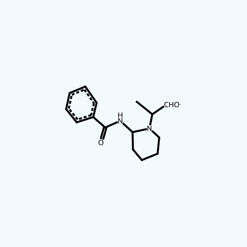 CC([C]=O)N1CCCCC1NC(=O)c1ccccc1